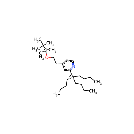 CCC[CH2][Sn]([CH2]CCC)([CH2]CCC)[c]1cc(CCO[Si](C)(C)C(C)(C)C)ccn1